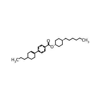 CCCCCC[C@H]1CC[C@H](OC(=O)c2ccc(C3=CCC(CCC)CC3)cc2)CC1